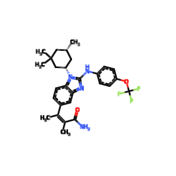 CC(C(N)=O)=C(C)c1ccc2c(c1)nc(Nc1ccc(OC(F)(F)F)cc1)n2[C@H]1C[C@@H](C)CC(C)(C)C1